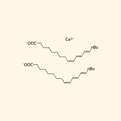 CCCC/C=C/C=C/C=C\CCCCCCCC(=O)[O-].CCCC/C=C/C=C/C=C\CCCCCCCC(=O)[O-].[Ca+2]